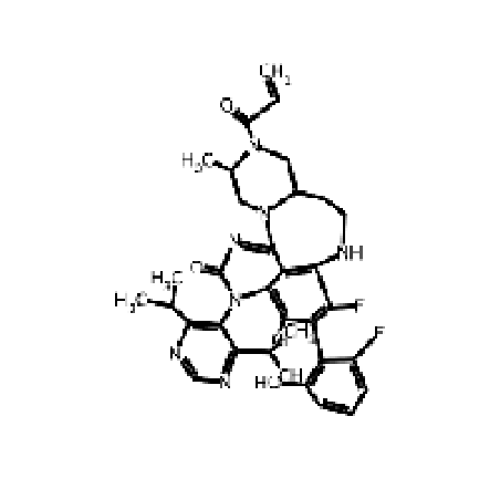 C=CC(=O)N1CC2CCNc3c(F)c(-c4c(O)cccc4F)c(Cl)c4c3c(nc(=O)n4-c3c(C(C)C)ncnc3C(C)C)N2CC1C